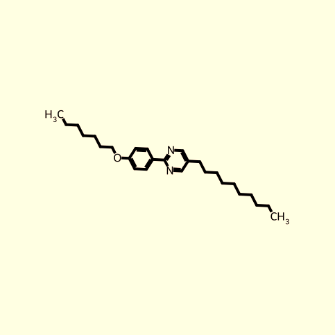 CCCCCCCCCCc1cnc(-c2ccc(OCCCCCCC)cc2)nc1